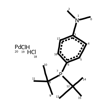 CN(C)c1ccc(P(C(C)(C)C)C(C)(C)C)cc1.Cl.Cl.[Pd]